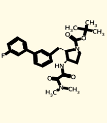 CN(C)C(=O)C(=O)N[C@H]1CCN(C(=O)OC(C)(C)C)[C@H]1Cc1cccc(-c2cccc(F)c2)c1